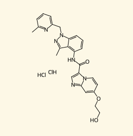 Cc1cccc(Cn2nc(C)c3c(NC(=O)c4cnc5cc(OCCO)ccn45)cccc32)n1.Cl.Cl